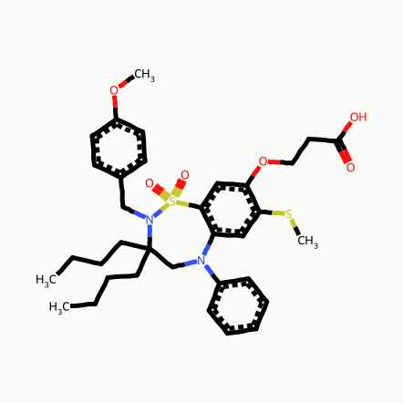 CCCCC1(CCCC)CN(c2ccccc2)c2cc(SC)c(OCCC(=O)O)cc2S(=O)(=O)N1Cc1ccc(OC)cc1